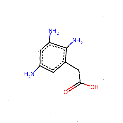 Nc1cc(N)c(N)c(CC(=O)O)c1